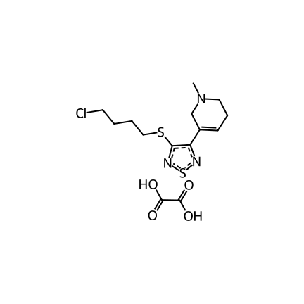 CN1CCC=C(c2nsnc2SCCCCCl)C1.O=C(O)C(=O)O